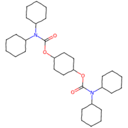 O=C(OC1CCC(OC(=O)N(C2CCCCC2)C2CCCCC2)CC1)N(C1CCCCC1)C1CCCCC1